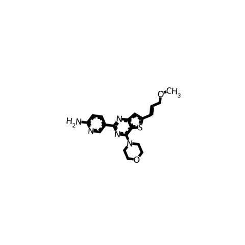 COC/C=C/c1cc2nc(-c3ccc(N)nc3)nc(N3CCOCC3)c2s1